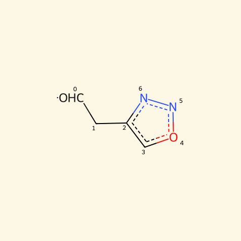 O=[C]Cc1conn1